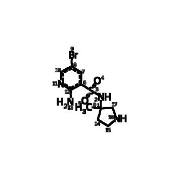 CC1(NS(=O)(=O)c2cc(Br)cnc2N)CCNC1